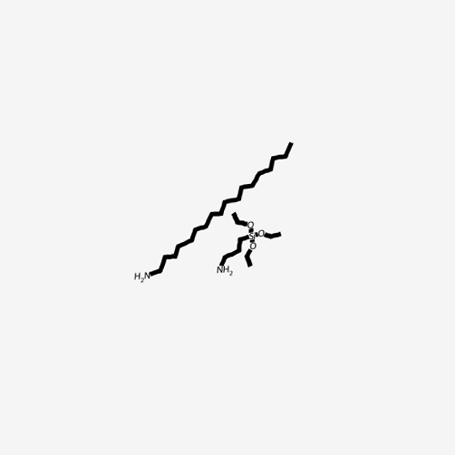 CCCCCCCCCCCCCCCCCCN.CCO[Si](CCCN)(OCC)OCC